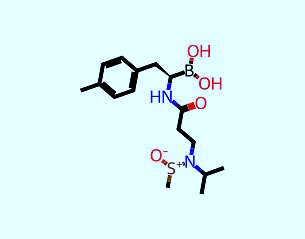 Cc1ccc(C[C@H](NC(=O)CCN(C(C)C)[S+](C)[O-])B(O)O)cc1